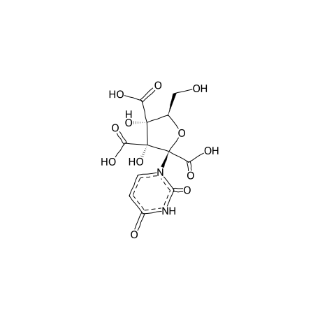 O=C(O)[C@@]1(O)[C@@](O)(C(=O)O)[C@@H](CO)O[C@@]1(C(=O)O)n1ccc(=O)[nH]c1=O